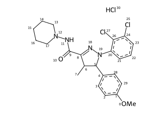 COc1ccc(C2C(C)C(C(=O)NN3CCCCC3)=NN2c2cccc(Cl)c2Cl)cc1.Cl